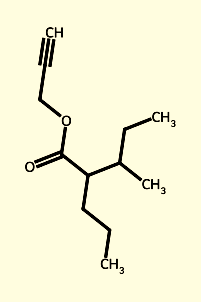 C#CCOC(=O)C(CCC)C(C)CC